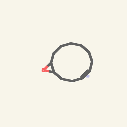 C1=C\CCC2OC2CCCCCC/1